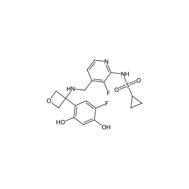 O=S(=O)(Nc1nccc(CNC2(c3cc(F)c(O)cc3O)COC2)c1F)C1CC1